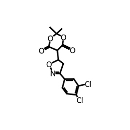 CC1(C)OC(=O)C(C2CC(c3ccc(Cl)c(Cl)c3)=NO2)C(=O)O1